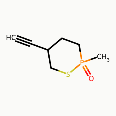 C#CC1CCP(C)(=O)SC1